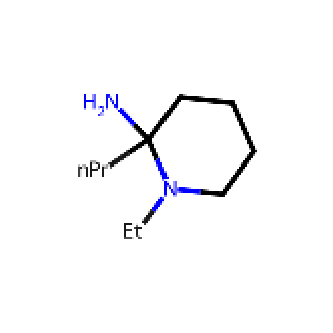 CCCC1(N)CCCCN1CC